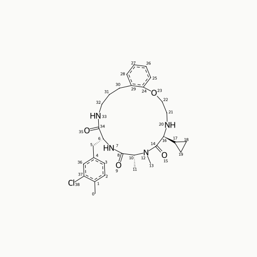 Cc1ccc(C[C@H]2NC(=O)[C@@H](C)N(C)C(=O)[C@H](C3CC3)NCCOc3ccccc3CCCNC2=O)cc1Cl